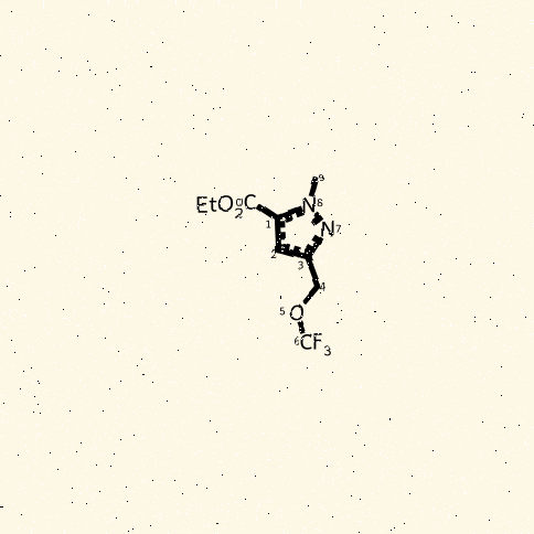 CCOC(=O)c1cc(COC(F)(F)F)nn1C